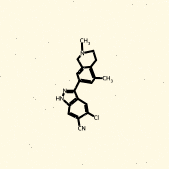 Cc1cc(-c2n[nH]c3cc(C#N)c(Cl)cc23)cc2c1CCN(C)C2